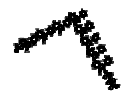 Cn1c[n+](-c2ccccc2)c2ccncc21.Cn1c[n+](-c2ccccc2)c2ccncc21.Cn1c[n+](-c2ccccc2)c2ccncc21.Cn1c[n+](-c2ccccc2)c2ccncc21.Cn1c[n+](-c2ccccc2)c2ccncc21.Cn1c[n+](-c2ccccc2)c2ccncc21.Cn1c[n+](-c2ccccc2)c2ccncc21.Cn1c[n+](-c2ccccc2)c2ccncc21.[O-]B([O-])F.[O-]B([O-])F.[O-]B([O-])F.[O-]B([O-])F